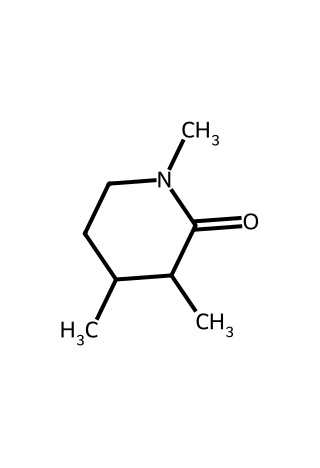 CC1CCN(C)C(=O)C1C